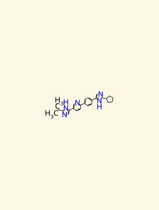 CC(C)c1ncc(-c2ccc(-c3ccc(-c4cnc(C5CCCC5)[nH]4)cc3)nc2)[nH]1